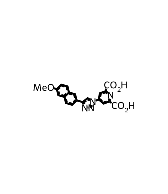 COc1ccc2cc(-c3cn(-c4cc(C(=O)O)nc(C(=O)O)c4)nn3)ccc2c1